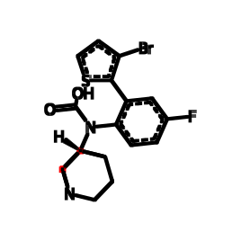 O=C(O)N(c1ccc(F)cc1-c1sccc1Br)[C@H]1CN2CCC1CC2